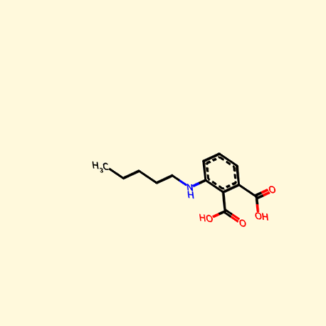 CCCCCNc1cccc(C(=O)O)c1C(=O)O